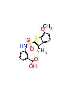 COc1cccc2c(C)c(S(=O)(=O)Nc3cccc(C(=O)O)c3)sc12